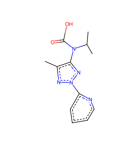 Cc1nn(-c2ccccn2)nc1N(C(=O)O)C(C)C